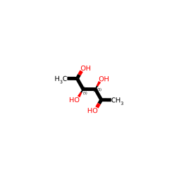 CC(O)[C@H](O)[C@@H](O)C(C)O